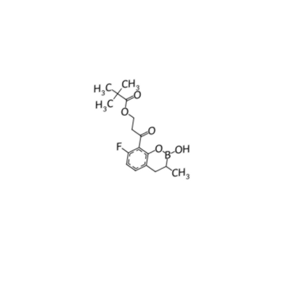 CC1Cc2ccc(F)c(C(=O)CCOC(=O)C(C)(C)C)c2OB1O